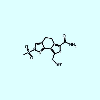 CCCSc1sc(C(N)=O)c2c1-c1nn(S(C)(=O)=O)cc1CC2